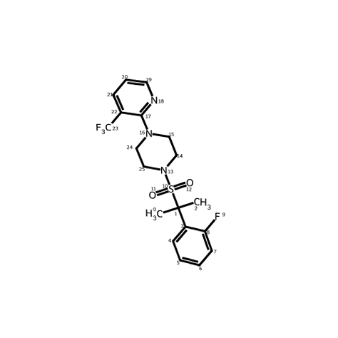 CC(C)(c1ccccc1F)S(=O)(=O)N1CCN(c2ncccc2C(F)(F)F)CC1